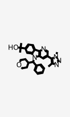 Cc1nnn(C)c1-c1cnc2c3ccc(C(C)(C)O)cc3n(C(c3ccccc3)C3CCOCC3)c2c1